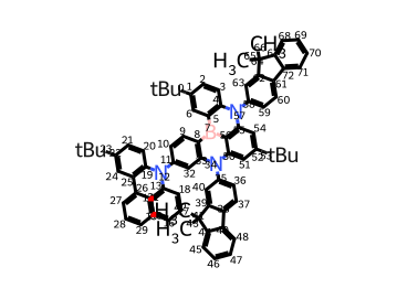 CC(C)(C)c1ccc2c(c1)B1c3ccc(N(c4ccccc4)c4ccc(C(C)(C)C)cc4-c4ccccc4)cc3N(c3ccc4c(c3)C(C)(C)c3ccccc3-4)c3cc(C(C)(C)C)cc(c31)N2c1ccc2c(c1)C(C)(C)c1ccccc1-2